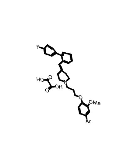 COc1cc(C(C)=O)ccc1OCCCN1CCC(=Cc2ccccc2-c2ccc(F)cc2)CC1.O=C(O)C(=O)O